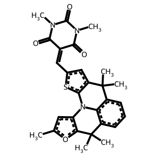 Cc1cc2c(o1)C(C)(C)c1cccc3c1N2c1sc(C=C2C(=O)N(C)C(=O)N(C)C2=O)cc1C3(C)C